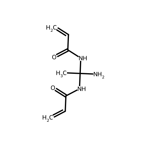 C=CC(=O)NC(C)(N)NC(=O)C=C